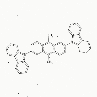 Cc1c2ccc(-n3c4ccccc4c4ccccc43)cc2c(C)c2ccc(-n3c4c(c5ccccc53)C=CCC4)cc12